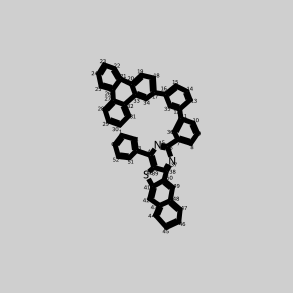 c1ccc(-c2nc(-c3cccc(-c4cccc(-c5ccc6c7ccccc7c7ccccc7c6c5)c4)c3)nc3c2sc2cc4ccccc4cc23)cc1